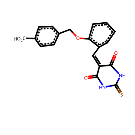 O=C1NC(=S)NC(=O)C1=Cc1ccccc1OCc1ccc(C(=O)O)cc1